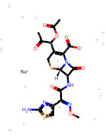 CON=C(C(=O)NC1C(=O)N2C(C(=O)[O-])=C(C(OC(C)=O)C(C)=O)CS[C@@H]12)c1csc(N)n1.[Na+]